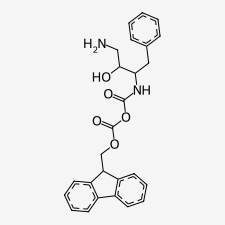 NCC(O)C(Cc1ccccc1)NC(=O)OC(=O)OCC1c2ccccc2-c2ccccc21